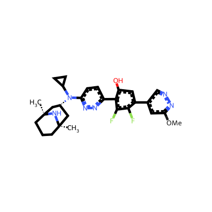 COc1cc(-c2cc(O)c(-c3ccc(N(C4CC4)[C@H]4C[C@]5(C)CCC[C@](C)(C4)N5)nn3)c(F)c2F)cnn1